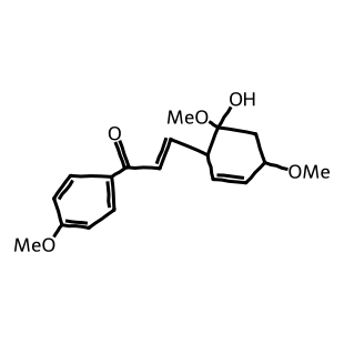 COc1ccc(C(=O)C=CC2C=CC(OC)CC2(O)OC)cc1